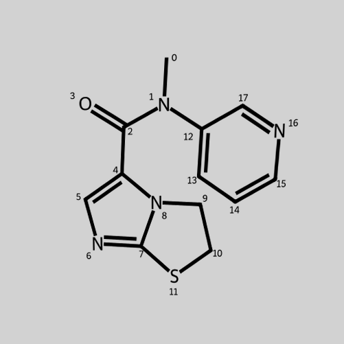 CN(C(=O)c1cnc2n1CCS2)c1cccnc1